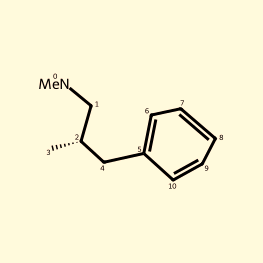 CNC[C@@H](C)Cc1ccccc1